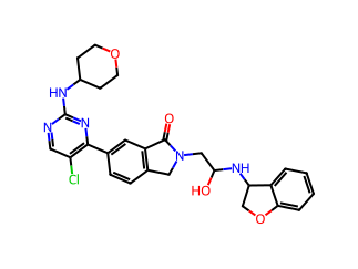 O=C1c2cc(-c3nc(NC4CCOCC4)ncc3Cl)ccc2CN1CC(O)NC1COc2ccccc21